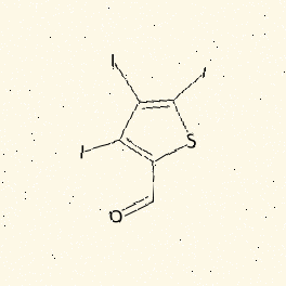 O=Cc1sc(I)c(I)c1I